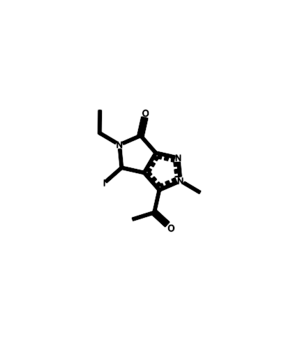 CCN1C(=O)c2nn(C)c(C(C)=O)c2C1I